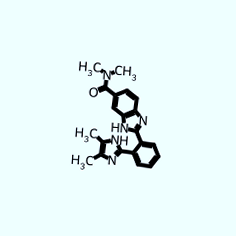 Cc1nc(-c2ccccc2-c2nc3ccc(C(=O)N(C)C)cc3[nH]2)[nH]c1C